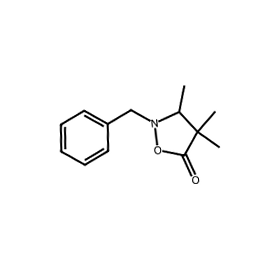 CC1N(Cc2ccccc2)OC(=O)C1(C)C